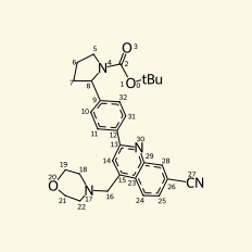 CC(C)(C)OC(=O)N1CCCC1c1ccc(-c2cc(CN3CCOCC3)c3ccc(C#N)cc3n2)cc1